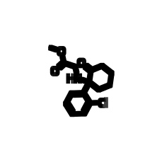 COC(=O)CNC1(c2ccccc2Cl)CCCCC1=O